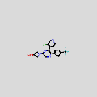 OC1CN(c2cnc(-c3ccc(C(F)(F)F)cc3)c(-c3ccncc3Cl)n2)C1